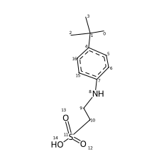 CC(C)(C)c1ccc(NCCS(=O)(=O)O)cc1